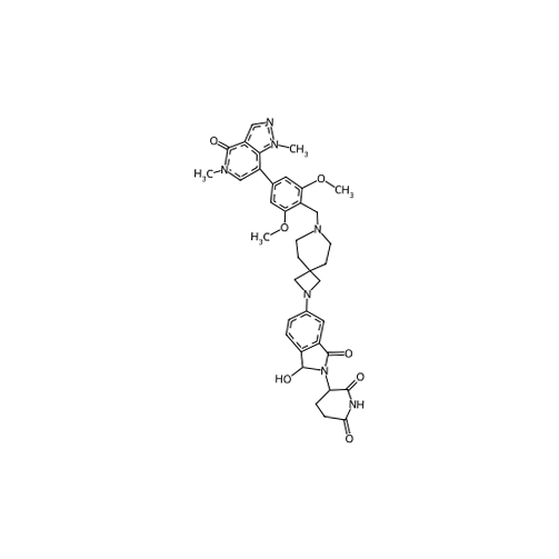 COc1cc(-c2cn(C)c(=O)c3cnn(C)c23)cc(OC)c1CN1CCC2(CC1)CN(c1ccc3c(c1)C(=O)N(C1CCC(=O)NC1=O)C3O)C2